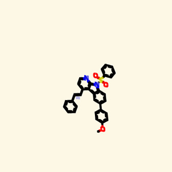 COc1ccc(-c2ccc3c(c2)c2c(/C=C/c4ccccc4)ccnc2n3S(=O)(=O)c2ccccc2)cc1